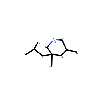 CC(C)CC1(C)CNCC(C)C1